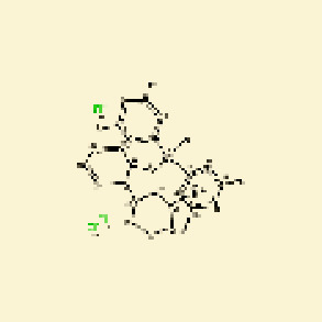 Cc1cc(C)cc([Si](C)(c2cc(C)cc(C)c2)C2C3C=CC=CC3C3CCC[CH]([Ti+3])C32)c1.[Cl-].[Cl-].[Cl-]